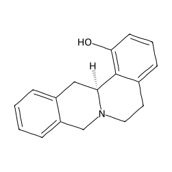 Oc1cccc2c1[C@@H]1Cc3ccccc3CN1CC2